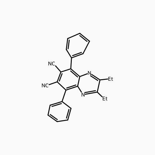 CCc1nc2c(-c3ccccc3)c(C#N)c(C#N)c(-c3ccccc3)c2nc1CC